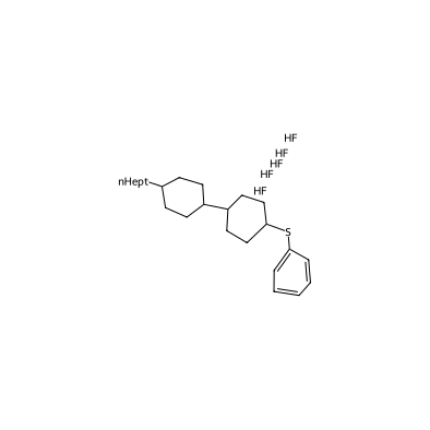 CCCCCCCC1CCC(C2CCC(Sc3ccccc3)CC2)CC1.F.F.F.F.F